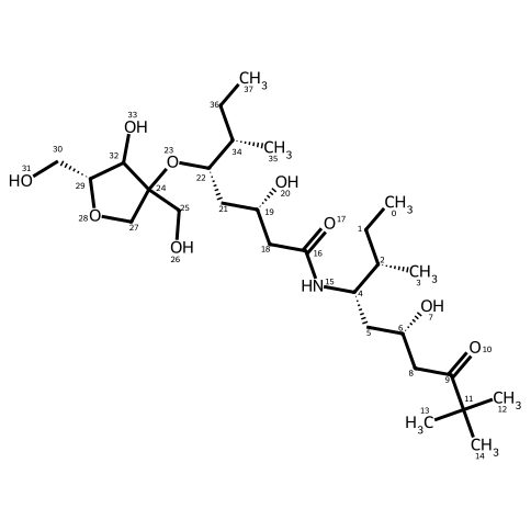 CC[C@H](C)[C@H](C[C@H](O)CC(=O)C(C)(C)C)NC(=O)C[C@@H](O)C[C@H](OC1(CO)CO[C@H](CO)C1O)[C@@H](C)CC